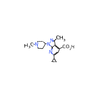 Cc1nn(C2CCN(C)CC2)c2nc(C3CC3)cc(C(=O)O)c12